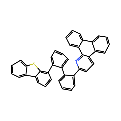 c1ccc(-c2ccccc2-c2cccc3c2sc2ccccc23)c(-c2ccc3c4ccccc4c4ccccc4c3n2)c1